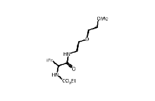 CCOC(=O)NC(C(=O)NCCOCCOC)C(C)C